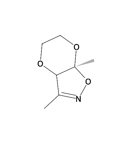 CC1=NO[C@]2(C)OCCOC12